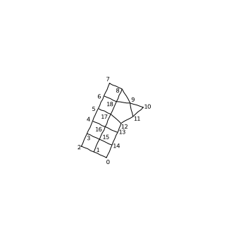 C1C2CC3C4C5C6CC7C89CC8C8C%10C1C23C%104C85C679